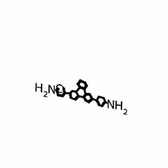 NC1=CC=C(c2ccc3c(c2)-c2ccccc2C2CC(c4ccc(N)cc4)=CC=C32)CC1